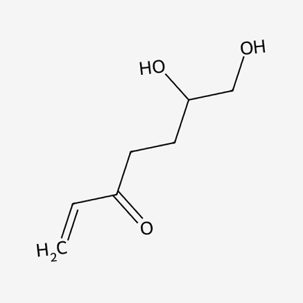 C=CC(=O)CCC(O)CO